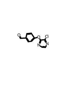 O=Cc1ccc(Oc2nccnc2Cl)cc1